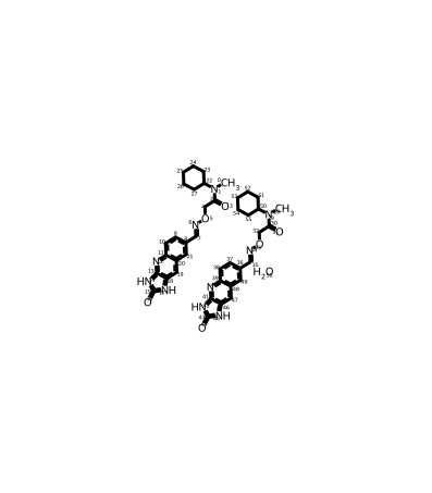 CN(C(=O)CO/N=C/c1ccc2nc3[nH]c(=O)[nH]c3cc2c1)C1CCCCC1.CN(C(=O)CO/N=C/c1ccc2nc3[nH]c(=O)[nH]c3cc2c1)C1CCCCC1.O